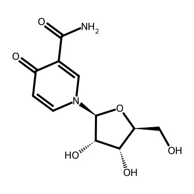 NC(=O)c1cn([C@H]2O[C@@H](CO)[C@H](O)[C@@H]2O)ccc1=O